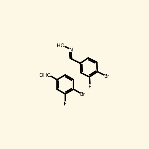 O=Cc1ccc(Br)c(F)c1.ON=Cc1ccc(Br)c(F)c1